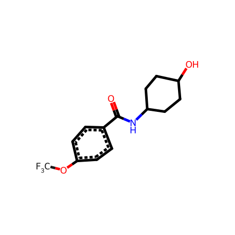 O=C(NC1CCC(O)CC1)c1ccc(OC(F)(F)F)cc1